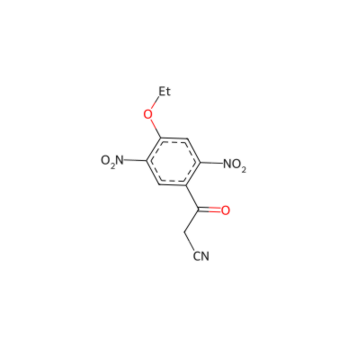 CCOc1cc([N+](=O)[O-])c(C(=O)CC#N)cc1[N+](=O)[O-]